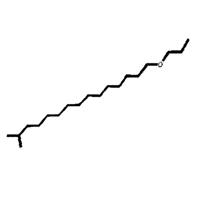 CC[CH]OCCCCCCCCCCCCCC(C)C